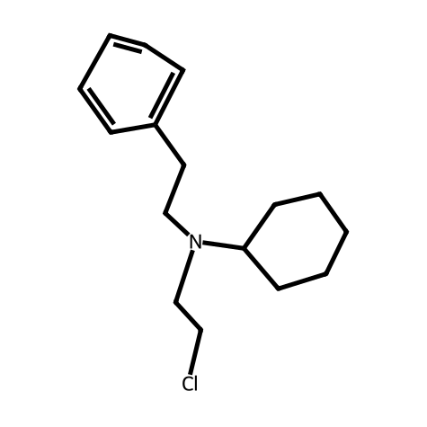 ClCCN(CCc1ccccc1)C1CCCCC1